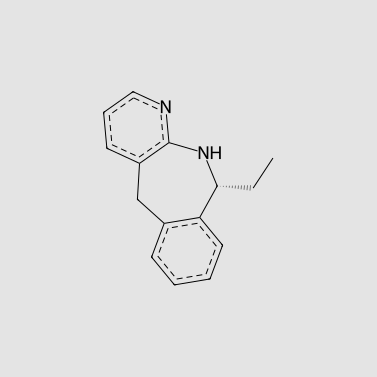 CC[C@H]1Nc2ncccc2Cc2ccccc21